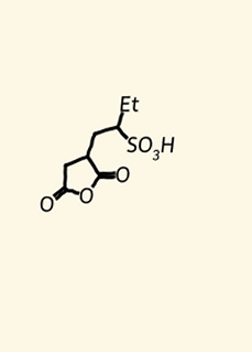 CCC(CC1CC(=O)OC1=O)S(=O)(=O)O